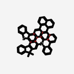 CC1(C)c2cc(N(c3ccccc3C3=CC=CCC3)c3ccc(-c4cccc5cccc(-c6ccccc6)c45)cc3-c3ccc4sc5ccccc5c4c3)c#cc2-c2ccccc21